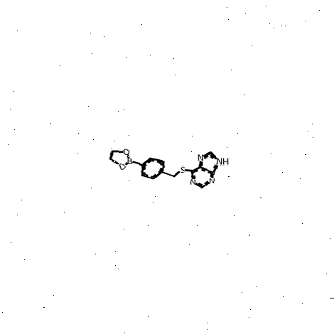 c1nc(SCc2ccc(B3OCCO3)cc2)c2nc[nH]c2n1